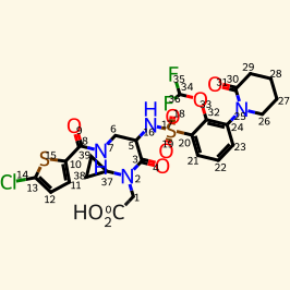 O=C(O)CN(C(=O)C(CNC(=O)c1ccc(Cl)s1)NS(=O)(=O)c1cccc(N2CCCCC2=O)c1OC(F)F)C1CC1